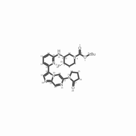 CC(C)(C)OC(=O)N1CC[C@H](F)[C@@H](Nc2cccc(-c3cnc4cnc(N5CCCC5=O)cn34)n2)C1